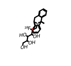 CC12c3ccccc3CC(c3ccccc31)N2CC([18F])C(O)C(O)C(O)CO